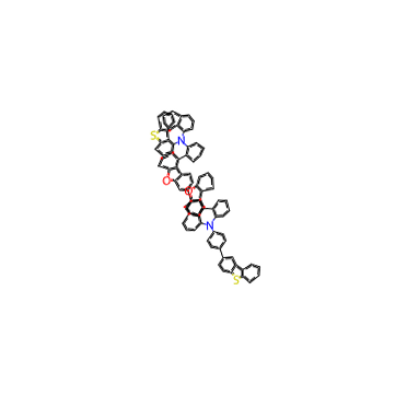 c1ccc(N(c2ccc(-c3ccc4sc5ccccc5c4c3)cc2)c2cccc3cc(-c4ccc5c(c4)oc4cccc(-c6ccccc6N(c6cccc7ccccc67)c6cccc7sc8ccccc8c67)c45)ccc23)c(-c2cccc3oc4ccccc4c23)c1